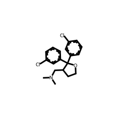 CN(C)CC1CCOC1(c1cccc(Cl)c1)c1cccc(Cl)c1